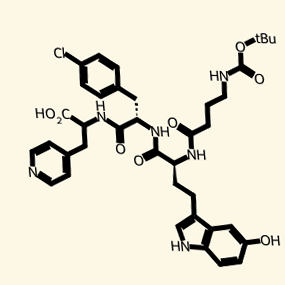 CC(C)(C)OC(=O)NCCCC(=O)N[C@@H](CCc1c[nH]c2ccc(O)cc12)C(=O)N[C@@H](Cc1ccc(Cl)cc1)C(=O)NC(Cc1ccncc1)C(=O)O